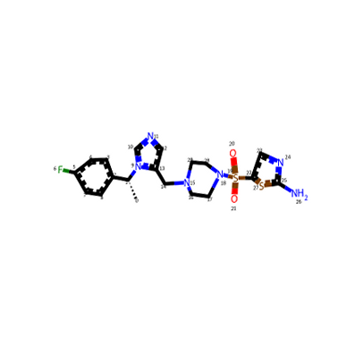 C[C@H](c1ccc(F)cc1)n1cncc1CN1CCN(S(=O)(=O)c2cnc(N)s2)CC1